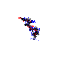 CC[C@H](C)[C@H](NC(=O)[C@@H]1CCCN1C(=O)CNC(=O)[C@H](CO)NC(=O)[C@H](Cc1c[nH]c2ccccc12)NC(=O)[C@H](CCCNC(=N)N)NC(=O)[C@@H]1CCCN1C(=O)[C@H](CC(C)C)NC(=O)[C@@H]1CCCN1C(=O)[C@H](C)NC(=O)[C@@H](N)Cc1ccc(O)cc1)C(=O)NCC(=O)N[C@H](C(=O)N[C@@H](CO)C(=O)N[C@@H](Cc1c[nH]c2ccccc12)C(=O)NCC(=O)N[C@@H](CC(C)C)C(=O)N[C@@H](CCCNC(=N)N)C(=O)O)C(C)C